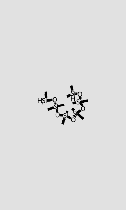 C[SiH](C)O[Si](C)(C)O[Si](C)(C)O[Si](C)(C)O[Si](C)(C)O[SiH](C)C